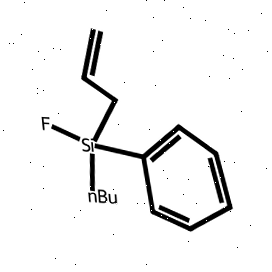 C=CC[Si](F)(CCCC)c1ccccc1